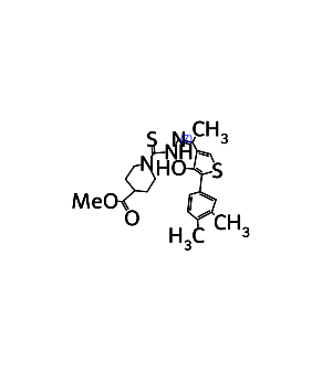 COC(=O)C1CCN(C(=S)N/N=C(/C)c2csc(-c3ccc(C)c(C)c3)c2O)CC1